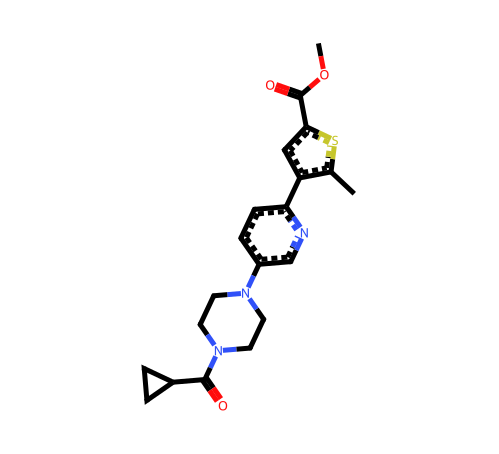 COC(=O)c1cc(-c2ccc(N3CCN(C(=O)C4CC4)CC3)cn2)c(C)s1